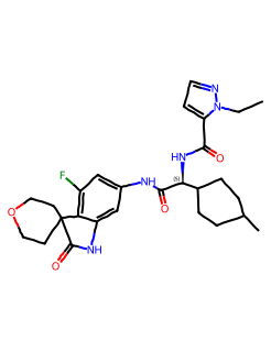 CCn1nccc1C(=O)N[C@H](C(=O)Nc1cc(F)c2c(c1)NC(=O)C21CCOCC1)C1CCC(C)CC1